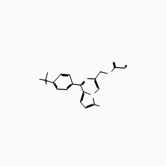 C=CC(=O)NCc1cn2c(F)ccc2c(-c2ccc(C(C)(C)C)cc2)n1